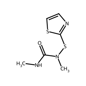 CNC(=O)N(C)Sc1nccs1